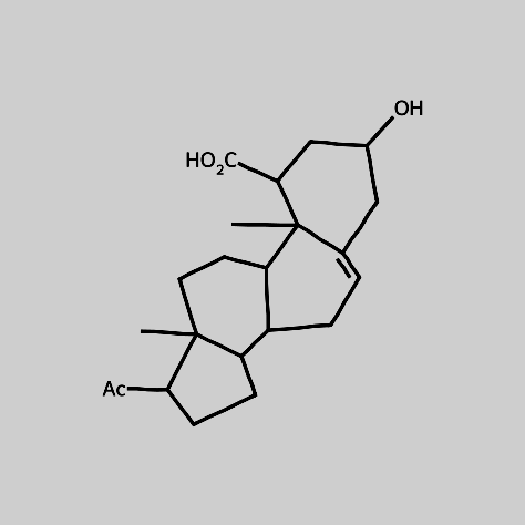 CC(=O)C1CCC2C3CC=C4CC(O)CC(C(=O)O)C4(C)C3CCC12C